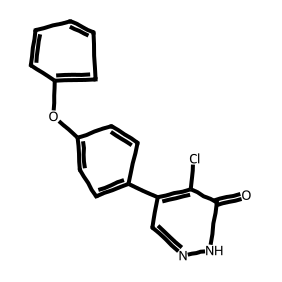 O=c1[nH]ncc(-c2ccc(Oc3ccccc3)cc2)c1Cl